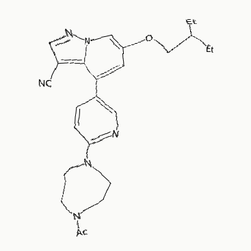 CCC(CC)COc1cc(-c2ccc(N3CCN(C(C)=O)CC3)nc2)c2c(C#N)cnn2c1